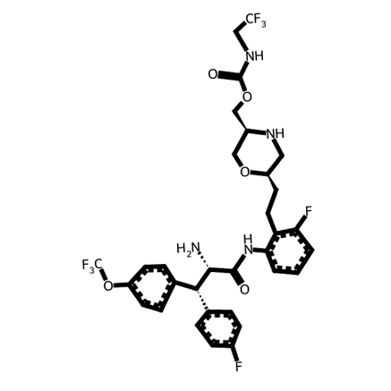 N[C@H](C(=O)Nc1cccc(F)c1CC[C@@H]1CN[C@H](COC(=O)NCC(F)(F)F)CO1)[C@H](c1ccc(F)cc1)c1ccc(OC(F)(F)F)cc1